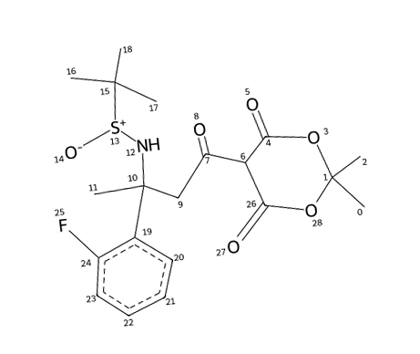 CC1(C)OC(=O)C(C(=O)CC(C)(N[S+]([O-])C(C)(C)C)c2ccccc2F)C(=O)O1